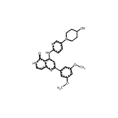 COc1cc(OC)cc(-c2cc(Nc3ccc(N4CCC(O)CC4)cn3)c3c(=O)[nH]ccc3n2)c1